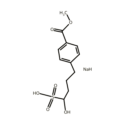 COC(=O)c1ccc(CCCC(O)S(=O)(=O)O)cc1.[NaH]